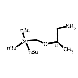 CCC[CH2][Sn]([CH2]CCC)([CH2]CCC)[CH2]O[C@H](C)CN